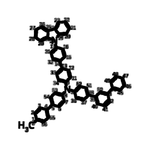 Cc1ccc(-c2ccc(N(c3ccc(-c4ccc(-n5c6ccccc6c6ccccc65)cc4)cc3)c3ccc(-c4cc#cc(-c5ccccc5)c4)cc3)cc2)cc1